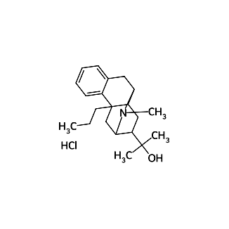 CCCC12CC3C(C(C)(C)O)CC1C(Cc1ccccc12)N3C.Cl